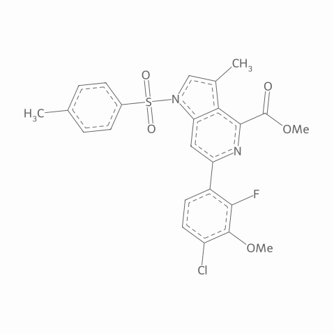 COC(=O)c1nc(-c2ccc(Cl)c(OC)c2F)cc2c1c(C)cn2S(=O)(=O)c1ccc(C)cc1